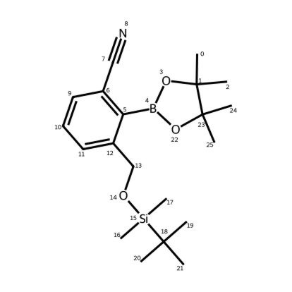 CC1(C)OB(c2c(C#N)cccc2CO[Si](C)(C)C(C)(C)C)OC1(C)C